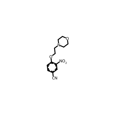 N#Cc1ccc(OCCN2CCOCC2)c([N+](=O)[O-])c1